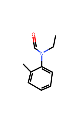 CCN(C=O)c1ccccc1C